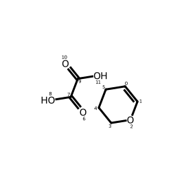 C1=COCCC1.O=C(O)C(=O)O